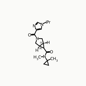 CC(C)n1cnc(C(=O)N2C[C@@H]3C(C(=O)N(C)C4(C)CC4)[C@@H]3C2)c1